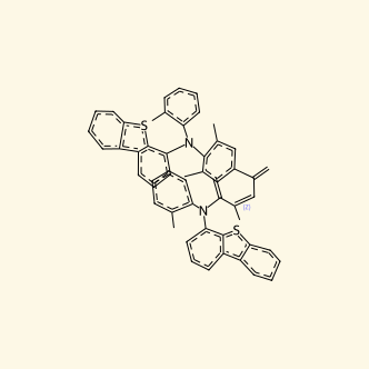 C=C(/C=C(/C)C(=C)N(c1ccccc1C)c1cccc2c1sc1ccccc12)c1cc(C)c(N(c2ccccc2C)c2cccc3c2sc2ccccc23)c(C)c1